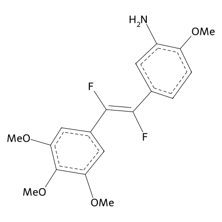 COc1ccc(C(F)=C(F)c2cc(OC)c(OC)c(OC)c2)cc1N